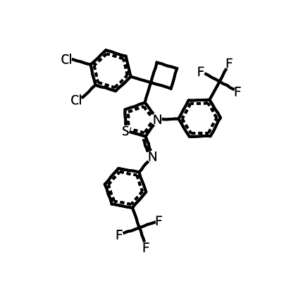 FC(F)(F)c1cccc(N=c2scc(C3(c4ccc(Cl)c(Cl)c4)CCC3)n2-c2cccc(C(F)(F)F)c2)c1